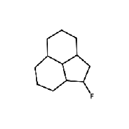 FC1CC2CCCC3CCCC1C32